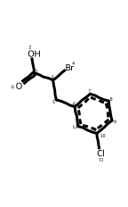 O=C(O)C(Br)Cc1cccc(Cl)c1